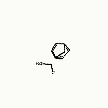 C1=CC2=CC=C1C2.OCCl